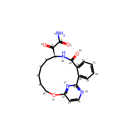 NC(=O)C(=O)[C@@H]1CCCCCOc2ccnc(n2)-c2ccccc2C(=O)N1